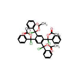 CC(=O)OC(Cl)(c1ccccc1)c1cc(C(Cl)(OC(C)=O)c2ccccc2)c(C(Cl)(OC(C)=O)c2ccccc2)cc1C(Cl)(OC(C)=O)c1ccccc1